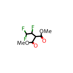 COC(=O)C(C(=O)OC)C(F)C(F)F